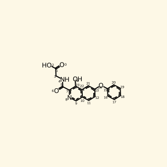 O=C(O)CNC(=O)c1ncc2ccc(Oc3ccccc3)cc2c1O